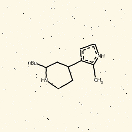 CCCCC1CC(c2cc[nH]c2C)CCN1